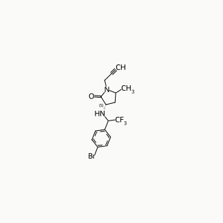 C#CCN1C(=O)[C@@H](NC(c2ccc(Br)cc2)C(F)(F)F)CC1C